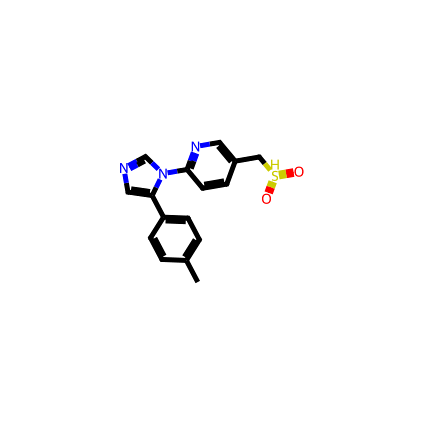 Cc1ccc(-c2cncn2-c2ccc(C[SH](=O)=O)cn2)cc1